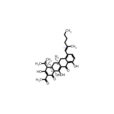 CCCC/C(C)=C/c1ccc(O)c2c1C[C@]1(C)C[C@]3(C)C(C(C)C)C(O)=C(C(C)=O)C(=O)[C@]3(O)C(O)=C1C2=O